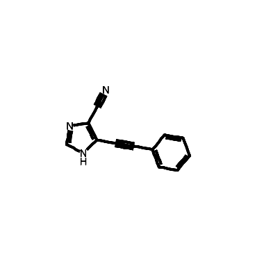 N#Cc1nc[nH]c1C#Cc1ccccc1